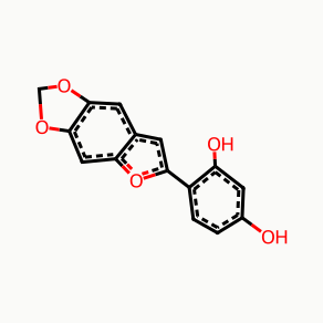 Oc1ccc(-c2cc3cc4c(cc3o2)OCO4)c(O)c1